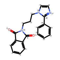 O=C1c2ccccc2C(=O)N1CCCn1ccnc1-c1ccccc1